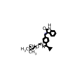 C[Si](C)(C)CCOCn1nc(C2CC2)c2ccc(/C=C3/C(=O)Nc4ccccc43)cc21